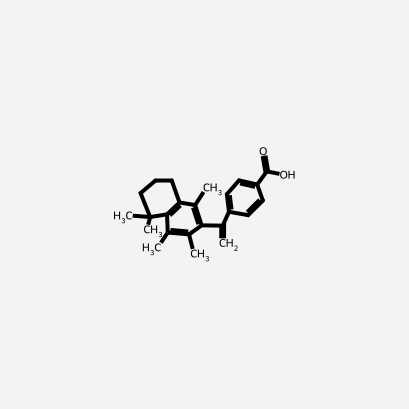 C=C(c1ccc(C(=O)O)cc1)c1c(C)c(C)c2c(c1C)CCCC2(C)C